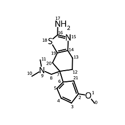 COc1cccc(C2(CN(C)C)CCc3nc(N)sc3C2)c1